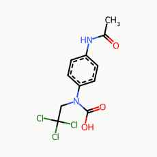 CC(=O)Nc1ccc(N(CC(Cl)(Cl)Cl)C(=O)O)cc1